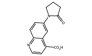 O=C(O)c1ccnc2ccc(N3CCCC3=O)cc12